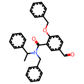 CC(c1ccccc1)N(Cc1ccccc1)C(=O)c1cc(C=O)ccc1OCc1ccccc1